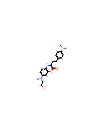 CN(C)c1ccc(/C=C/c2nc3ccc(N(C)CCO)cc3oc2=O)cc1